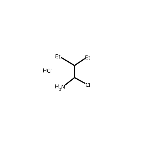 CCC(CC)C(N)Cl.Cl